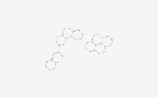 c1ccc2ncc(-c3ccc4ccc5ccc(-c6ccc7ccc8cccc9ccc6c7c89)nc5c4n3)cc2c1